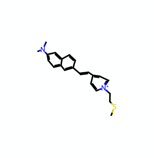 CSCC[n+]1ccc(/C=C/c2ccc3cc(N(C)C)ccc3c2)cc1